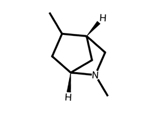 CC1C[C@@H]2C[C@H]1CN2C